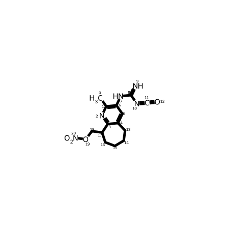 Cc1nc2c(cc1NC(=N)N=C=O)CCCCC2CO[N+](=O)[O-]